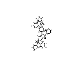 O=P1(c2ccc3c(c2)nc2c4ccccc4c4cc(P5(=O)c6ccccc6-c6ccccc65)ccc4n32)c2ccccc2-c2ccccc21